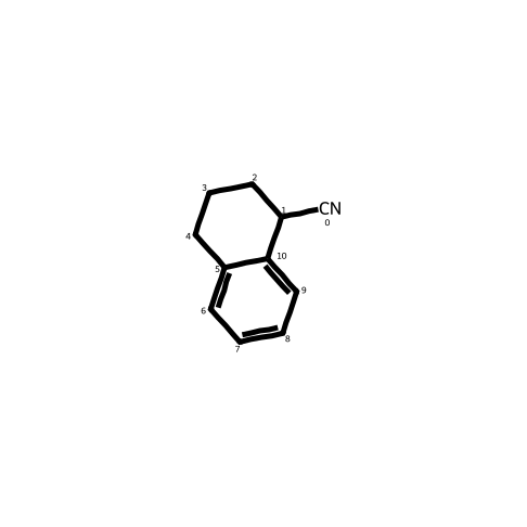 N#CC1CCCc2ccccc21